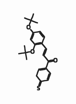 CC(C)(C)Oc1ccc(C=CC(=O)C2=CCC(=S)C=C2)c(OC(C)(C)C)c1